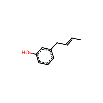 CC=CCc1cccc(O)c1